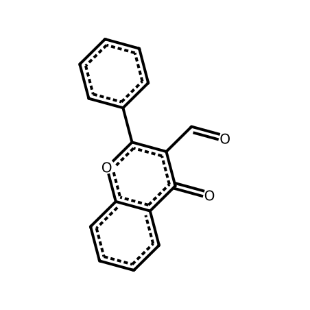 O=Cc1c(-c2ccccc2)oc2ccccc2c1=O